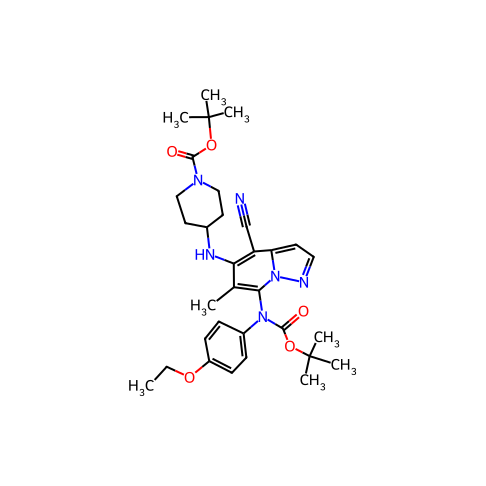 CCOc1ccc(N(C(=O)OC(C)(C)C)c2c(C)c(NC3CCN(C(=O)OC(C)(C)C)CC3)c(C#N)c3ccnn23)cc1